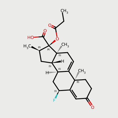 CCC(=O)O[C@]1(C(=O)O)[C@H](C)C[C@H]2[C@@H]3C[C@H](F)C4=CC(=O)CC[C@]4(C)C3=CC[C@@]21C